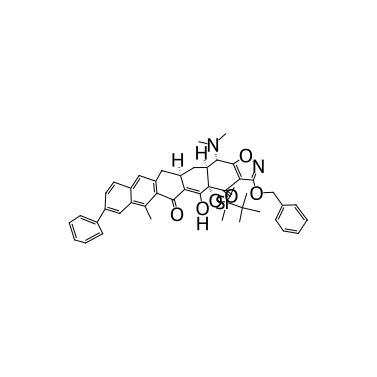 Cc1c2c(cc3ccc(-c4ccccc4)cc13)C[C@H]1C[C@H]3[C@H](N(C)C)c4onc(OCc5ccccc5)c4C(=O)[C@@]3(O[Si](C)(C)C(C)(C)C)C(O)=C1C2=O